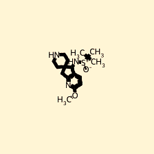 COc1ccc2c(n1)CC1(CCNCC1)C2N[S@+]([O-])C(C)(C)C